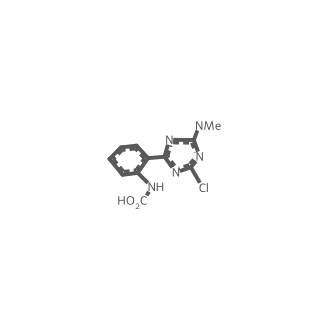 CNc1nc(Cl)nc(-c2ccccc2NC(=O)O)n1